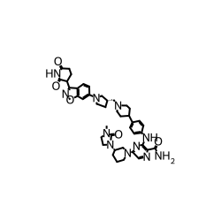 CN1CCN([C@@H]2CCCN(c3cnc(C(N)=O)c(Nc4ccc(C5CCN(C[C@@H]6CCN(c7ccc8c(C9CCC(=O)NC9=O)noc8c7)C6)CC5)cc4)n3)C2)C1=O